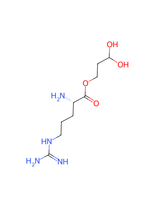 N=C(N)NCCC[C@H](N)C(=O)OCCC(O)O